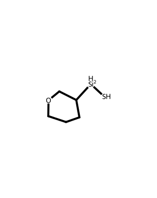 S[SiH2]C1CCCOC1